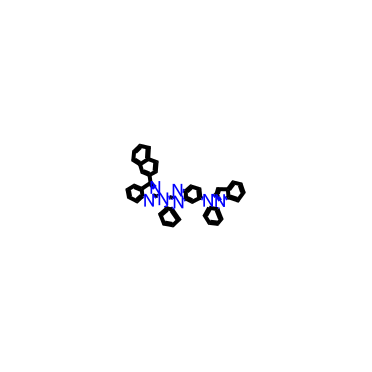 c1ccc2cc(-c3nc(-n4c5ccccc5n5c6cc(-n7c8ccccc8n8c9ccccc9cc78)ccc6nc45)nc4ccccc34)ccc2c1